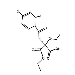 CCOC(=O)C(CC(=O)c1ccc(Cl)cc1F)(OCC)C(=O)O